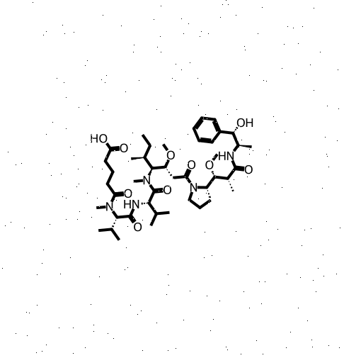 CC[C@H](C)[C@@H]([C@@H](CC(=O)N1CCC[C@H]1[C@H](OC)[C@@H](C)C(=O)N[C@H](C)[C@@H](O)c1ccccc1)OC)N(C)C(=O)[C@@H](NC(=O)[C@H](C(C)C)N(C)C(=O)CCCC(=O)O)C(C)C